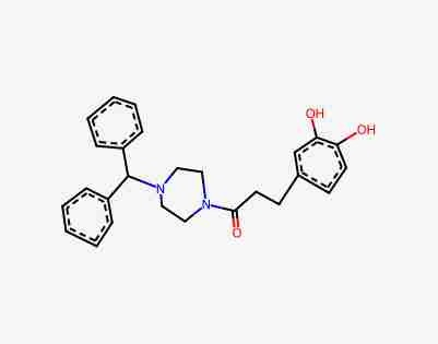 O=C(CCc1ccc(O)c(O)c1)N1CCN(C(c2ccccc2)c2ccccc2)CC1